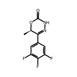 C[C@H]1OC(=O)NN=C1c1cc(F)c(F)c(F)c1